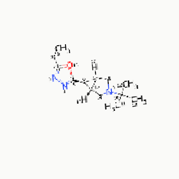 CCc1nnc([C@H]2[C@@H]3CN(C(C)(C)C)C[C@@H]32)o1